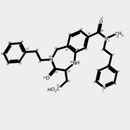 CN(CCc1ccncc1)C(=O)c1ccc2c(c1)NC(CC(=O)O)C(=O)N(CCc1ccccc1)C2